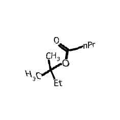 [CH2]CCC(=O)OC(C)(C)CC